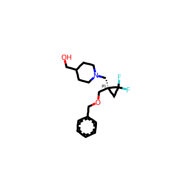 OCC1CCN(C[C@@]2(COCc3ccccc3)CC2(F)F)CC1